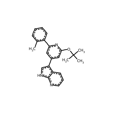 Cc1ccccc1-c1cc(-c2c[nH]c3ncccc23)cc(OC(C)(C)C)n1